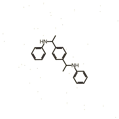 CC(Nc1ccccc1)c1ccc(C(C)Nc2ccccc2)cc1